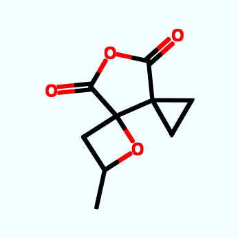 CC1CC2(O1)C(=O)OC(=O)C21CC1